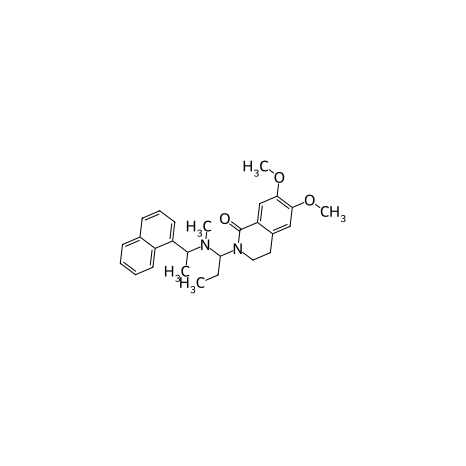 CCC(N1CCc2cc(OC)c(OC)cc2C1=O)N(C)C(C)c1cccc2ccccc12